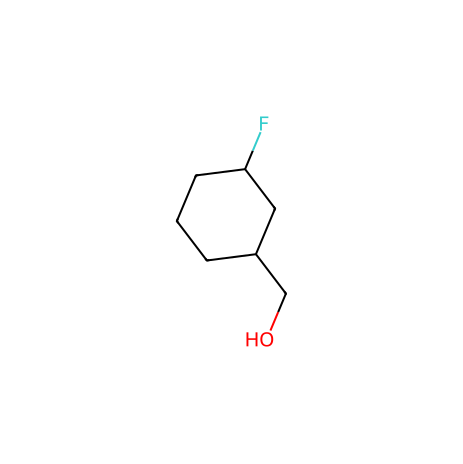 OCC1CCCC(F)C1